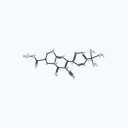 COC(=O)C1CSc2nc(-c3ccc(C(C)(C)C)nc3)c(C#N)c(=O)n2C1